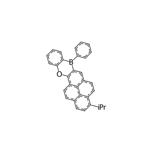 CC(C)c1ccc2ccc3c4c(cc5ccc1c2c53)B(c1ccccc1)c1ccccc1O4